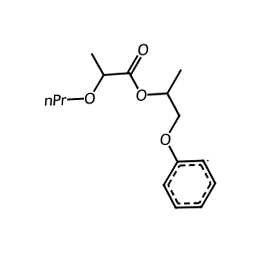 CCCOC(C)C(=O)OC(C)COc1[c]cccc1